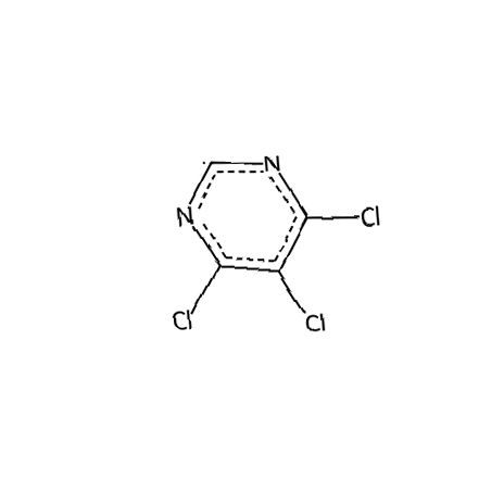 Clc1n[c]nc(Cl)c1Cl